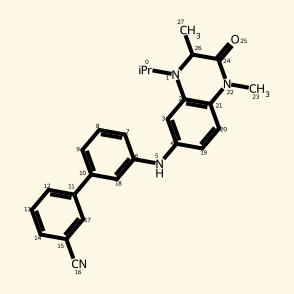 CC(C)N1c2cc(Nc3cccc(-c4cccc(C#N)c4)c3)ccc2N(C)C(=O)C1C